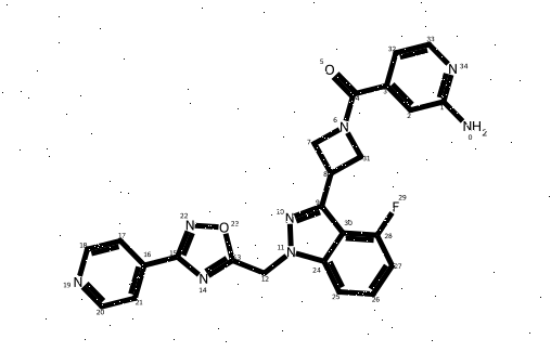 Nc1cc(C(=O)N2CC(c3nn(Cc4nc(-c5ccncc5)no4)c4cccc(F)c34)C2)ccn1